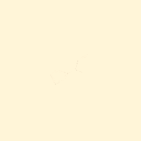 CN(C=O)c1cccs1